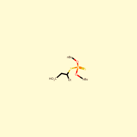 CCCCOP(=S)(OCCCC)SC(CC)CC(=O)O